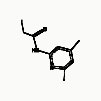 Cc1cc(C)nc(NC(=O)CI)c1